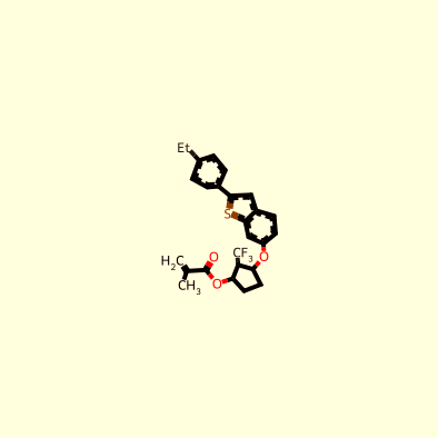 C=C(C)C(=O)OC1CCC(Oc2ccc3cc(-c4ccc(CC)cc4)sc3c2)C1C(F)(F)F